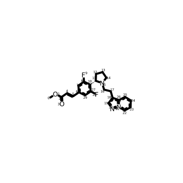 COC(=O)C=Cc1cc(F)c([C@@H]2CCCN2CCc2cnn3ccccc23)c(F)c1